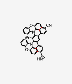 CC(C)c1c(N2c3ccccc3Oc3ccccc32)c(-c2ccc(C#N)cc2)cc(-c2ccc(C3CN3)cc2)c1N1c2ccccc2Oc2ccccc21